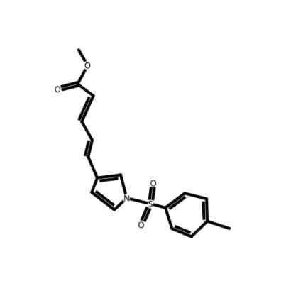 COC(=O)C=CC=Cc1ccn(S(=O)(=O)c2ccc(C)cc2)c1